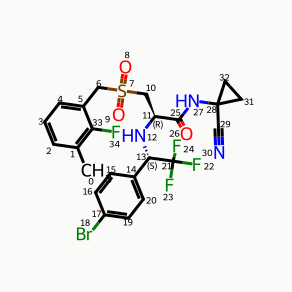 Cc1cccc(CS(=O)(=O)C[C@H](N[C@@H](c2ccc(Br)cc2)C(F)(F)F)C(=O)NC2(C#N)CC2)c1F